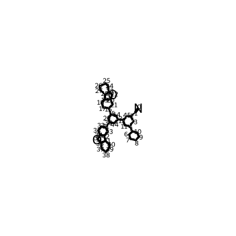 N#Cc1cc(-c2ccccc2)cc(-c2cc(-c3ccc4c(c3)oc3ccccc34)cc(-c3ccc4oc5ccccc5c4c3)c2)c1